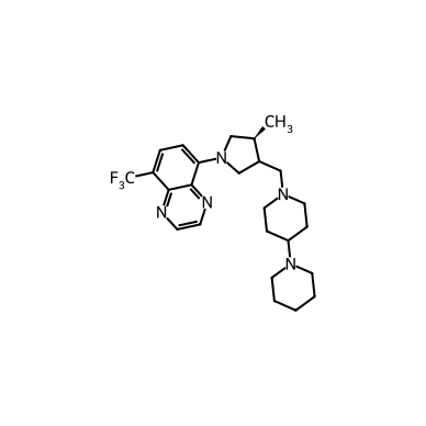 C[C@@H]1CN(c2ccc(C(F)(F)F)c3nccnc23)CC1CN1CCC(N2CCCCC2)CC1